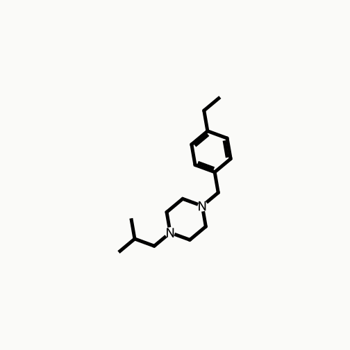 CCc1ccc(CN2CCN(CC(C)C)CC2)cc1